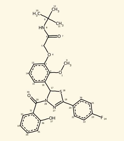 COc1c(OCC(=O)NC(C)(C)C)cccc1C1SC(c2ccc(F)cc2)=NN1C(=O)c1ccccc1O